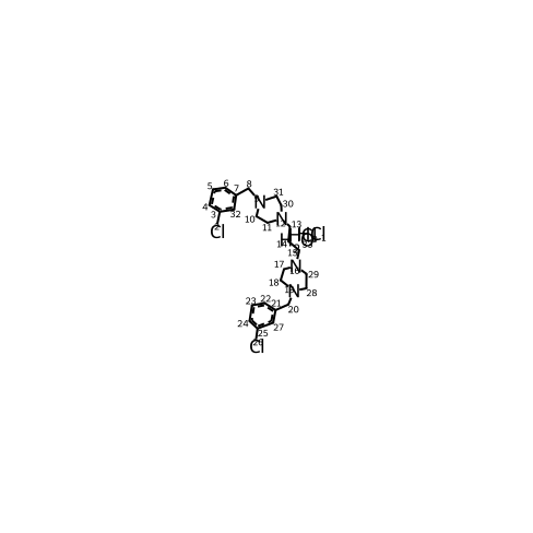 Cl.Cl.Clc1cccc(CN2CCN(CCCN3CCN(Cc4cccc(Cl)c4)CC3)CC2)c1.O